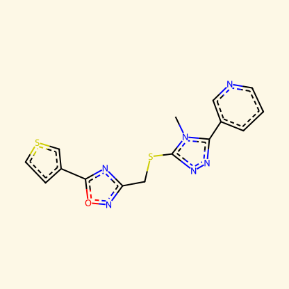 Cn1c(SCc2noc(-c3ccsc3)n2)nnc1-c1cccnc1